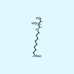 CCCCCCCCCCCCCCCCCOC[C@H](O)CO